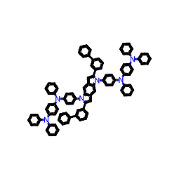 c1ccc(-c2cccc(-c3cc4cc5c(cc(-c6cccc(-c7ccccc7)c6)n5-c5ccc(N(c6ccccc6)c6ccc(N(c7ccccc7)c7ccccc7)cc6)cc5)cc4n3-c3ccc(N(c4ccccc4)c4ccc(N(c5ccccc5)c5ccccc5)cc4)cc3)c2)cc1